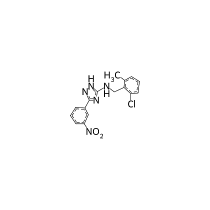 Cc1cccc(Cl)c1CNc1nc(-c2cccc([N+](=O)[O-])c2)n[nH]1